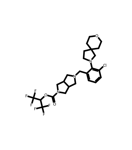 O=C(OC(C(F)(F)F)C(F)(F)F)N1CC2CN(Cc3cccc(Cl)c3N3CCC4(CCOCC4)C3)CC2C1